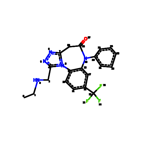 CCNCc1nnc2n1-c1ccc(C(F)(F)F)cc1N(c1ccccc1)C(=O)C2